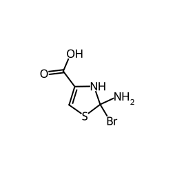 NC1(Br)NC(C(=O)O)=CS1